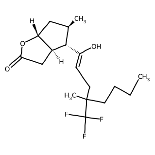 CCCCC(C)(CC=C(O)[C@@H]1[C@H]2CC(=O)O[C@@H]2C[C@H]1C)C(F)(F)F